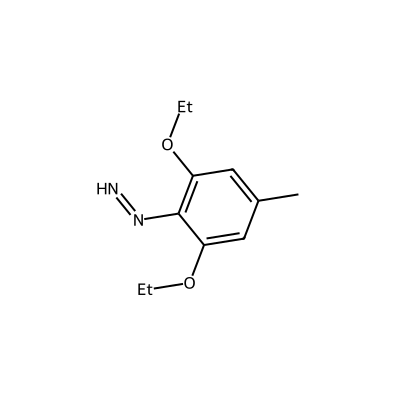 CCOc1cc(C)cc(OCC)c1N=N